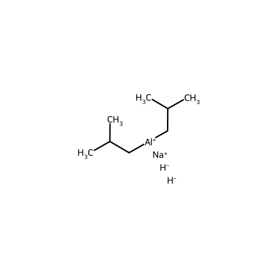 CC(C)[CH2][Al+][CH2]C(C)C.[H-].[H-].[Na+]